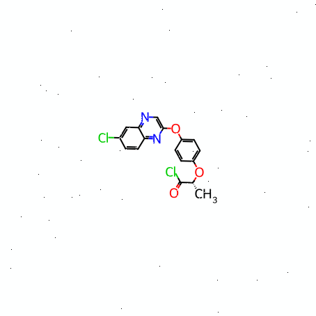 C[C@@H](Oc1ccc(Oc2cnc3cc(Cl)ccc3n2)cc1)C(=O)Cl